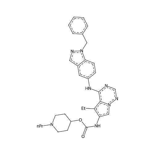 CCCN1CCC(OC(=O)Nc2cn3ncnc(Nc4ccc5c(cnn5Cc5ccccc5)c4)c3c2CC)CC1